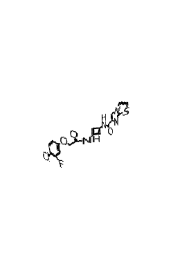 O=C(COc1ccc(Cl)c(F)c1)NC12CC(NC(=O)c3cn4ccsc4n3)(C1)C2